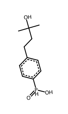 CC(C)(O)CCc1ccc([PH](=O)O)cc1